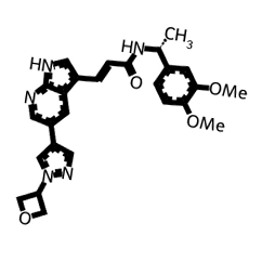 COc1ccc([C@@H](C)NC(=O)/C=C/c2c[nH]c3ncc(-c4cnn(C5COC5)c4)cc23)cc1OC